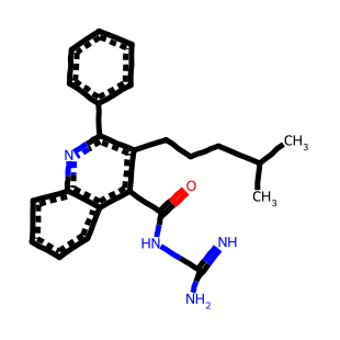 CC(C)CCCc1c(-c2ccccc2)nc2ccccc2c1C(=O)NC(=N)N